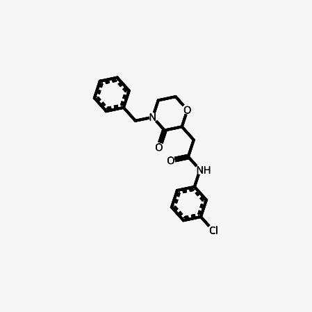 O=C(CC1OCCN(Cc2ccccc2)C1=O)Nc1cccc(Cl)c1